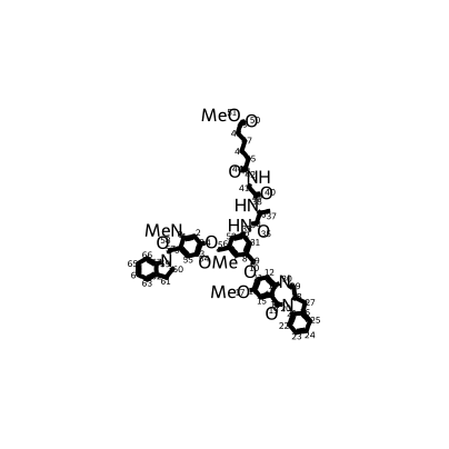 CNc1cc(OCc2cc(COc3cc4c(cc3OC)C(=O)N3c5ccccc5CC3C=N4)cc(NC(=O)C(C)NC(=O)CNC(=O)CCCCC(=O)OC)c2)c(OC)cc1C(=O)N1CCc2ccccc21